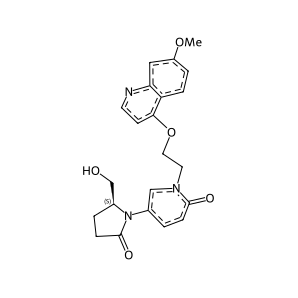 COc1ccc2c(OCCn3cc(N4C(=O)CC[C@H]4CO)ccc3=O)ccnc2c1